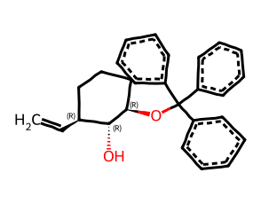 C=C[C@H]1CCC[C@@H](OC(c2ccccc2)(c2ccccc2)c2ccccc2)[C@@H]1O